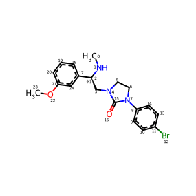 CN[C@@H](CN1CCN(c2ccc(Br)cc2)C1=O)c1cccc(OC)c1